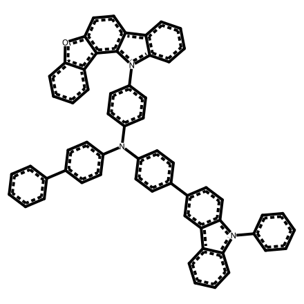 c1ccc(-c2ccc(N(c3ccc(-c4ccc5c(c4)c4ccccc4n5-c4ccccc4)cc3)c3ccc(-n4c5ccccc5c5ccc6oc7ccccc7c6c54)cc3)cc2)cc1